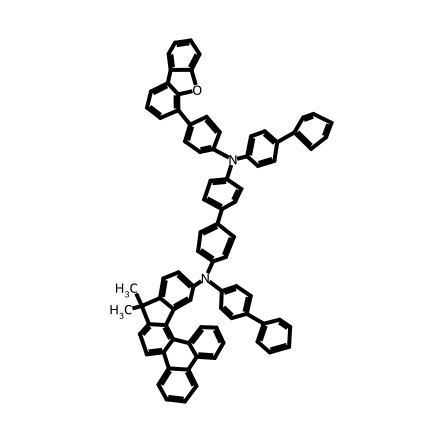 CC1(C)c2ccc(N(c3ccc(-c4ccccc4)cc3)c3ccc(-c4ccc(N(c5ccc(-c6ccccc6)cc5)c5ccc(-c6cccc7c6oc6ccccc67)cc5)cc4)cc3)cc2-c2c1ccc1c3ccccc3c3ccccc3c21